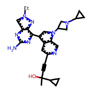 CCn1cc2nc(N)nc(-c3cn(C4CN(C5CC5)C4)c4cnc(C#CC(C)(O)C5CC5)cc34)c2n1